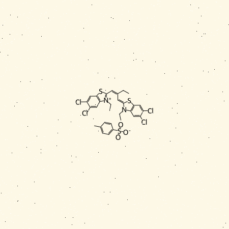 CCC(=Cc1sc2cc(Cl)c(Cl)cc2[n+]1CC)C=C1Sc2cc(Cl)c(Cl)cc2N1CC.Cc1ccc(S(=O)(=O)[O-])cc1